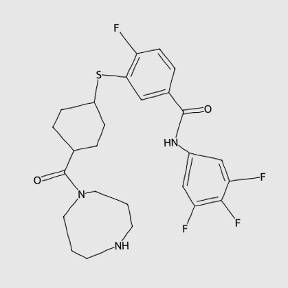 O=C(Nc1cc(F)c(F)c(F)c1)c1ccc(F)c(SC2CCC(C(=O)N3CCCNCCC3)CC2)c1